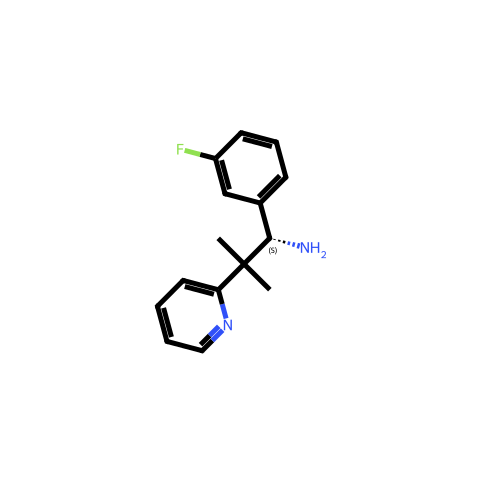 CC(C)(c1ccccn1)[C@@H](N)c1cccc(F)c1